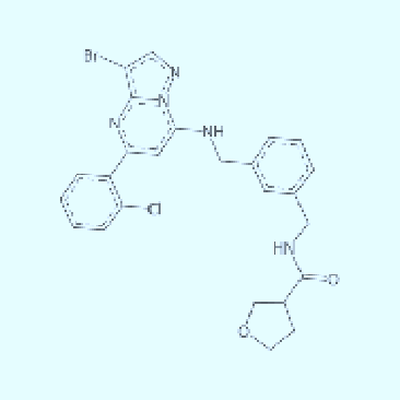 O=C(NCc1cccc(CNc2cc(-c3ccccc3Cl)nc3c(Br)cnn23)c1)C1CCOC1